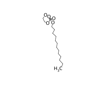 CCCCCCCCCCCCCOP1(=O)OCCOO1